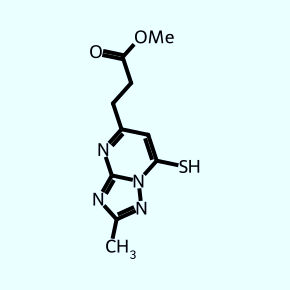 COC(=O)CCc1cc(S)n2nc(C)nc2n1